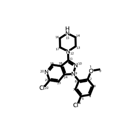 COc1ccc(Cl)cc1-n1nc(N2CCNCC2)c2cnc(Cl)cc21